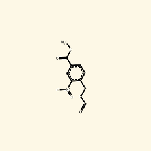 COC(=O)c1ccc(COC=O)c([N+](=O)[O-])c1